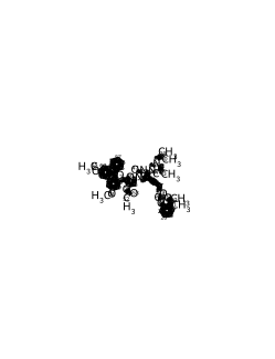 COc1ccc(C(OCC2OC(n3cc(C#CCCOP4(=O)Oc5ccccc5C(C)(C)O4)c(/N=C/N(CC(C)C)CC(C)C)nc3=O)CC2OC(C)=O)(c2ccccc2)c2ccc(OC)cc2)cc1